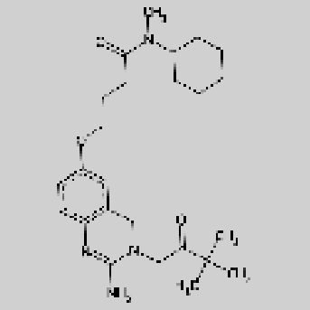 CN(C(=O)CCCOc1ccc2c(c1)CN(CC(=O)C(C)(C)C)C(N)=N2)C1CCCCC1